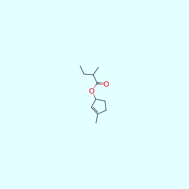 CCC(C)C(=O)OC1C=C(C)CC1